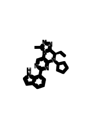 CC[C@@H]1c2nnc(C)n2-c2cnc(-c3cccc4cc[nH]c34)nc2N1C1CCCC1